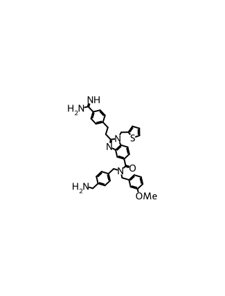 COc1cccc(CN(Cc2ccc(CN)cc2)C(=O)c2ccc3c(c2)nc(CCc2ccc(C(=N)N)cc2)n3Cc2cccs2)c1